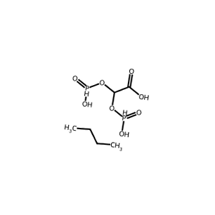 CCCC.O=C(O)C(O[PH](=O)O)O[PH](=O)O